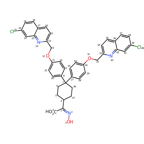 O=C(O)/C(=N\O)C1CCC(c2ccc(OCc3ccc4ccc(Cl)cc4n3)cc2)(c2ccc(OCc3ccc4ccc(Cl)cc4n3)cc2)CC1